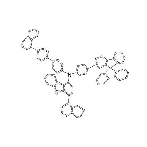 c1ccc(C2(c3ccccc3)c3ccccc3-c3ccc(-c4ccc(N(c5ccc(-c6ccc(-c7cccc8ccccc78)cc6)cc5)c5ccc(-c6cccc7ccccc67)c6sc7ccccc7c56)cc4)cc32)cc1